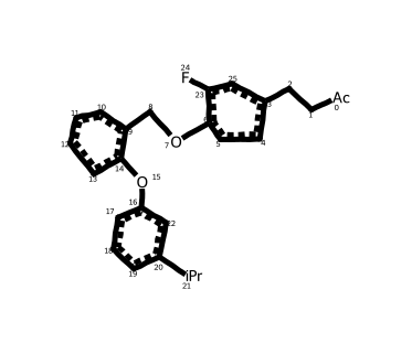 CC(=O)CCc1ccc(OCc2ccccc2Oc2cccc(C(C)C)c2)c(F)c1